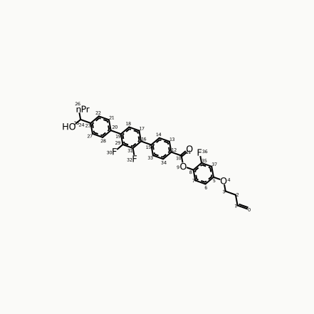 C=CCCOc1ccc(OC(=O)c2ccc(-c3ccc(-c4ccc(C(O)CCC)cc4)c(F)c3F)cc2)c(F)c1